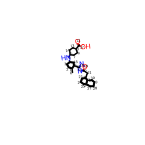 Cc1ccc(NC2CCC(C(=O)O)CC2)cc1-c1noc(Cc2cccc3ccccc23)n1